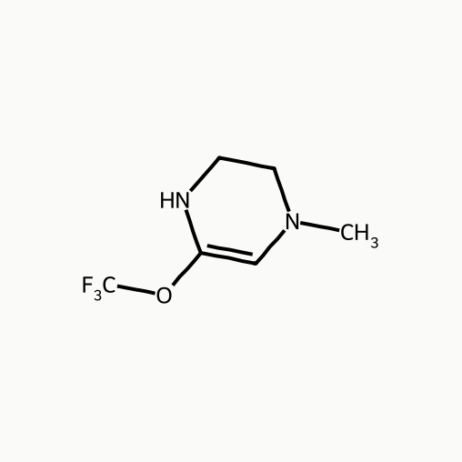 CN1C=C(OC(F)(F)F)NCC1